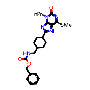 CCCn1c(=O)nc(SC)c2[nH]c(C3CCC(CNC(=O)OCc4ccccc4)CC3)nc21